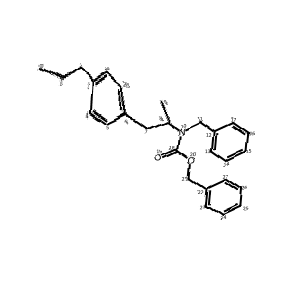 CCCc1ccc(CC(C)N(Cc2ccccc2)C(=O)OCc2ccccc2)cc1